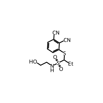 CCC(Sc1cccc(C#N)c1C#N)S(=O)(=O)NCCO